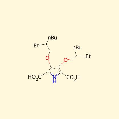 CCCCC(CC)COc1c(C(=O)O)[nH]c(C(=O)O)c1OCC(CC)CCCC